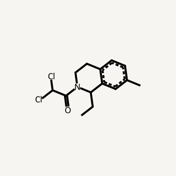 CCC1c2cc(C)ccc2CCN1C(=O)C(Cl)Cl